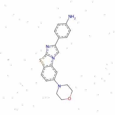 Nc1ccc(-c2cn3c(n2)sc2ccc(N4CCOCC4)cc23)cc1